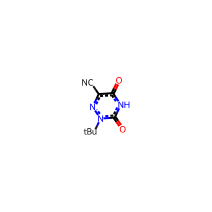 CC(C)(C)n1nc(C#N)c(=O)[nH]c1=O